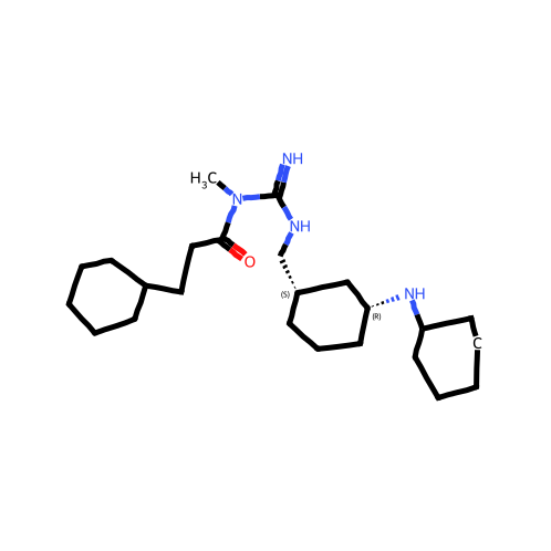 CN(C(=N)NC[C@H]1CCC[C@@H](NC2CCCCC2)C1)C(=O)CCC1CCCCC1